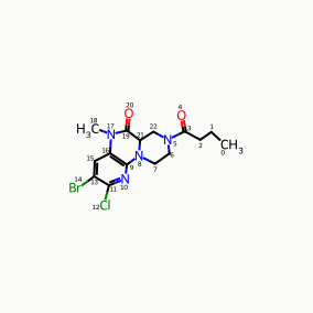 CCCC(=O)N1CCN2c3nc(Cl)c(Br)cc3N(C)C(=O)C2C1